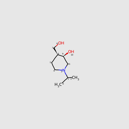 CC(C)N1CC[C@@H](CO)[C@@H](O)C1